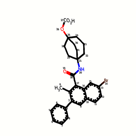 Cc1c(-c2ccccc2)cc2ccc(Br)cc2c1C(=O)NC12CCCC(OC(=O)O)(CC1)CC2